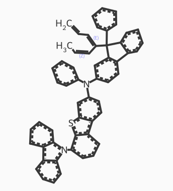 C=C/C=C(\C=C/C)C1(c2ccccc2)c2ccccc2-c2ccc(N(c3ccccc3)c3ccc4c(c3)sc3c(-n5c6ccccc6c6ccccc65)cccc34)cc21